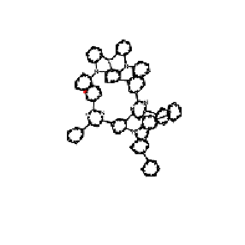 c1ccc(-c2ccc3c(c2)c2cc(-c4ccccc4)ccc2n3-c2ccc(-c3cc(-c4ccccc4)nc(-c4ccccc4)n3)cc2-c2cc(-c3ccccc3)nc(-c3cccc(-c4ccc5c6c4N(c4ccccc4)c4ccccc4B6c4ccccc4N5c4ccccc4)c3)n2)cc1